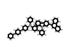 c1ccc(-c2ccc(-c3ccc(N(c4ccccc4)c4ccc(-c5ccccc5-n5c6ccccc6c6ccc(-c7cc8ccccc8c8ccccc78)cc65)cc4)cc3)cc2)cc1